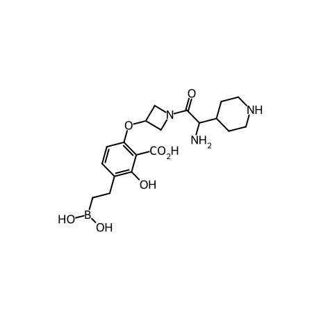 NC(C(=O)N1CC(Oc2ccc(CCB(O)O)c(O)c2C(=O)O)C1)C1CCNCC1